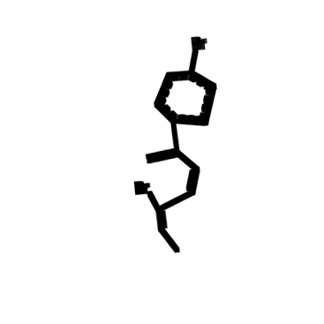 C=C(/C=C\C(Br)=C/C)c1ccc(Br)cc1